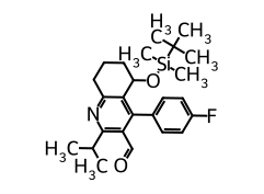 CC(C)c1nc2c(c(-c3ccc(F)cc3)c1C=O)C(O[Si](C)(C)C(C)(C)C)CCC2